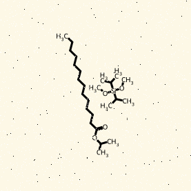 CCCCCCCCCCCCCC(=O)OC(C)C.CO[Si](OC)(C(C)C)C(C)C